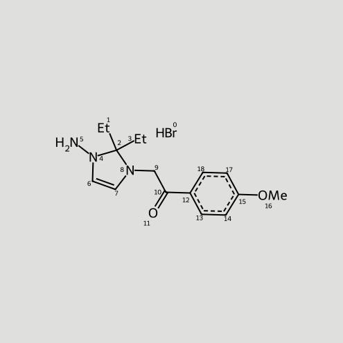 Br.CCC1(CC)N(N)C=CN1CC(=O)c1ccc(OC)cc1